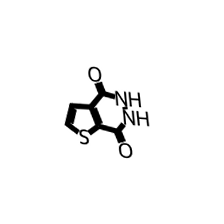 O=c1[nH][nH]c(=O)c2sccc12